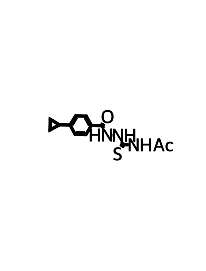 CC(=O)NC(=S)NNC(=O)c1ccc(C2CC2)cc1